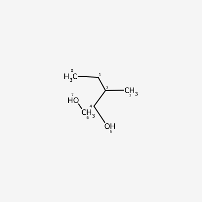 CCC(C)CO.CO